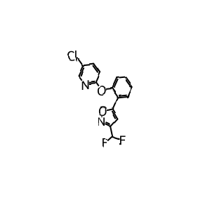 FC(F)c1cc(-c2ccccc2Oc2ccc(Cl)cn2)on1